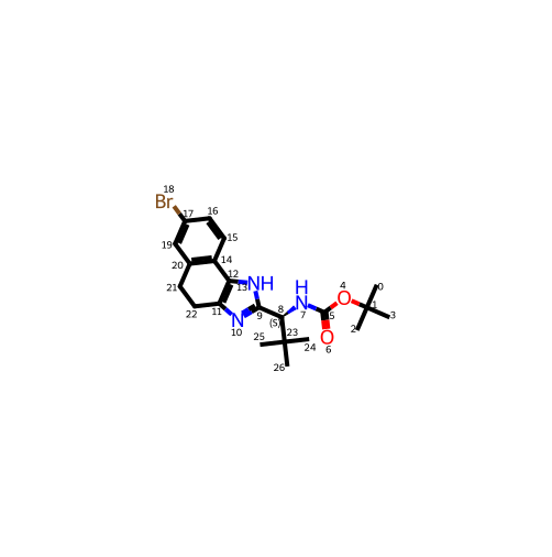 CC(C)(C)OC(=O)N[C@H](c1nc2c([nH]1)-c1ccc(Br)cc1CC2)C(C)(C)C